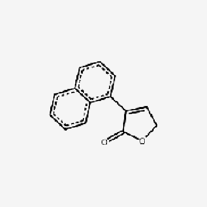 O=C1OCC=C1c1cccc2ccccc12